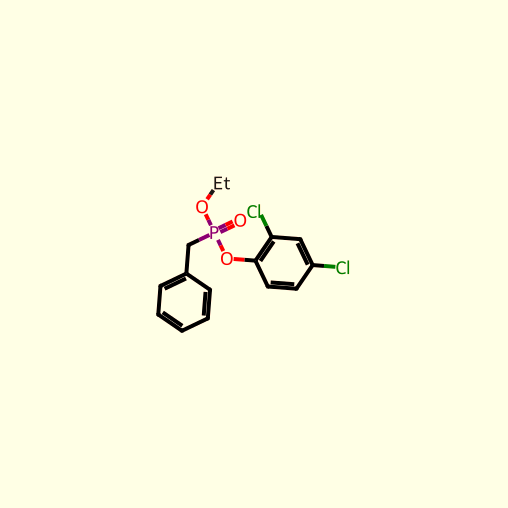 CCOP(=O)(Cc1ccccc1)Oc1ccc(Cl)cc1Cl